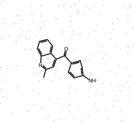 Cc1cc(C(=O)c2ccc([NH])cc2)c2ccccc2n1